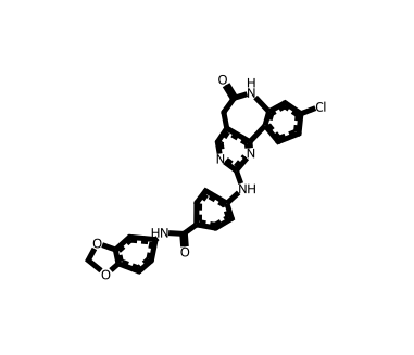 O=C1Cc2cnc(Nc3ccc(C(=O)Nc4ccc5c(c4)OCO5)cc3)nc2-c2ccc(Cl)cc2N1